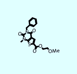 COCCOC(=O)c1cc2c(=O)n(Cc3ccccc3)c(=O)n(C)c2s1